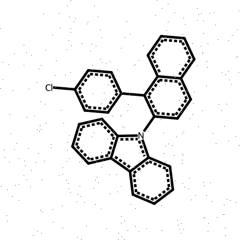 Clc1ccc(-c2c(-n3c4ccccc4c4ccccc43)ccc3ccccc23)cc1